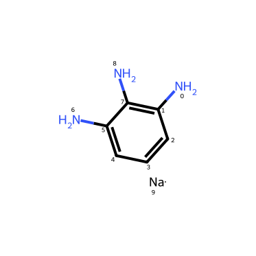 Nc1cccc(N)c1N.[Na]